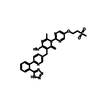 C=C1C(Cc2ccc(-c3ccccc3-c3nnn[nH]3)nc2)=C(CCCC)N=C(C)N1c1ncc(OCCS(C)(=O)=O)cn1